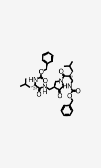 CC(C)C[C@@H](CNC(=O)OCc1ccccc1)C(=O)N1CC(=O)C(CNC(=O)[C@H](CC(C)C)NC(=O)OCc2ccccc2)C1